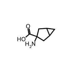 NC1(C(=O)O)CC2CC2C1